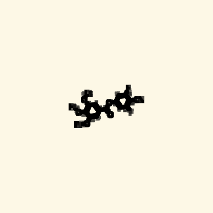 CCOc1cc(C(=O)Oc2cc(F)c(C#N)c(F)c2)cc(OCC)c1OCC